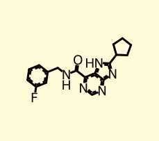 O=C(NCc1cccc(F)c1)c1ncnc2nc(C3CCCC3)[nH]c12